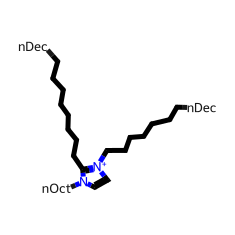 CCCCCCCCCCCCCCCCCCc1n(CCCCCCCC)cc[n+]1CCCCCCCCCCCCCCCCC